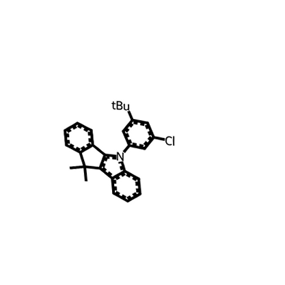 CC(C)(C)c1cc(Cl)cc(-n2c3c(c4ccccc42)C(C)(C)c2ccccc2-3)c1